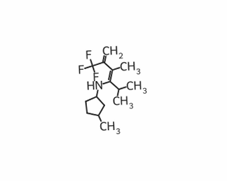 C=C(/C(C)=C(\NC1CCC(C)C1)C(C)C)C(F)(F)F